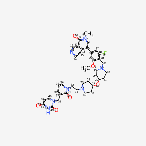 COc1cc(-c2cn(C)c(=O)c3cnccc23)cc(F)c1CN1CCC(OC2CCN(CCn3cccc(Cn4ccc(=O)[nH]c4=O)c3=O)CC2)CC1